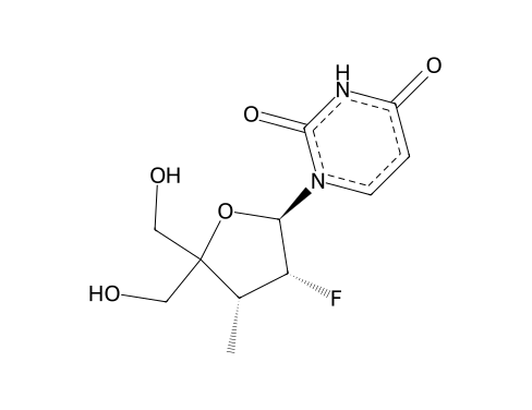 C[C@H]1[C@@H](F)[C@H](n2ccc(=O)[nH]c2=O)OC1(CO)CO